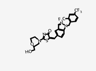 O=C1N=C(N2CCOC(CO)C2)SC1=Cc1ccc2c(cnn2Cc2ccc(C(F)(F)F)cc2C(F)(F)F)c1